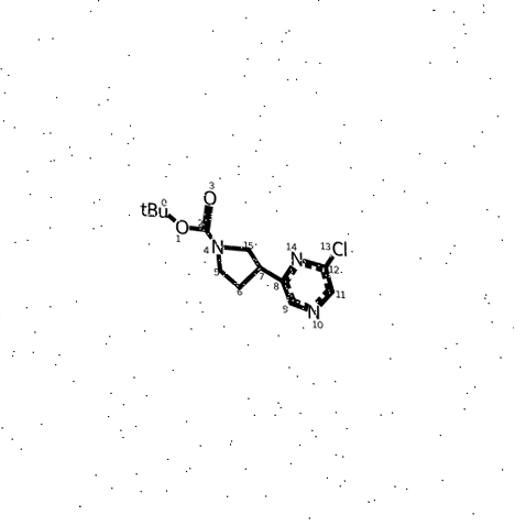 CC(C)(C)OC(=O)N1CCC(c2cncc(Cl)n2)C1